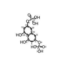 O=P(O)(O)Oc1cc(O)c2c(O)cc(OP(=O)(O)O)cc2c1